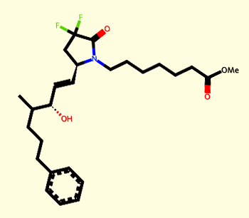 COC(=O)CCCCCCN1C(=O)C(F)(F)C[C@@H]1C=C[C@H](O)C(C)CCCc1ccccc1